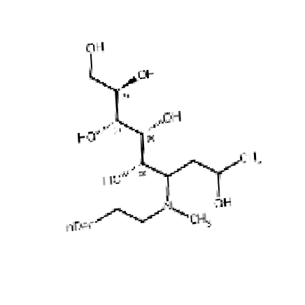 CCCCCCCCCCCCN(C)C(CC(C)O)[C@H](O)[C@@H](O)[C@H](O)[C@H](O)CO